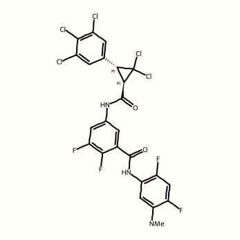 CNc1cc(NC(=O)c2cc(NC(=O)[C@H]3[C@H](c4cc(Cl)c(Cl)c(Cl)c4)C3(Cl)Cl)cc(F)c2F)c(F)cc1F